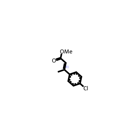 COC(=O)/C=C(\C)c1ccc(Cl)cc1